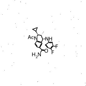 CC(=O)N1c2ccc(C(N)=O)cc2[C@H](Nc2ccc(F)c(F)c2)[C@@H](C)[C@@H]1C1CC1